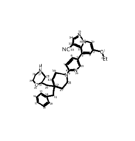 CCOc1cc(-c2ccc(N3CCC(Cc4ccccc4)(CC4CNCCO4)CC3)nc2)c2c(C#N)cnn2c1